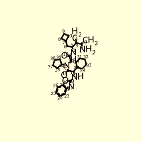 C=C(N)C(=C)C(CC1CCC1)NC(=O)CN(C(=O)[C@@H](Nc1nc2ccccc2o1)C1CCCCC1)C1CCCC1